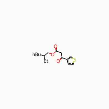 CCCCC(CC)COC(=O)CC(=O)c1ccsc1